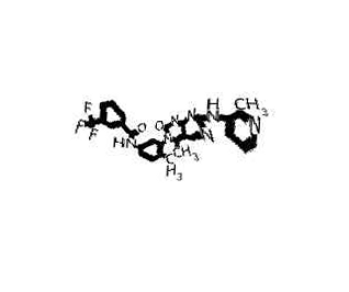 Cc1ccc(NC(=O)c2cccc(C(F)(F)F)c2)cc1-n1c(C)c2cnc(Nc3cccnc3C)nc2nc1=O